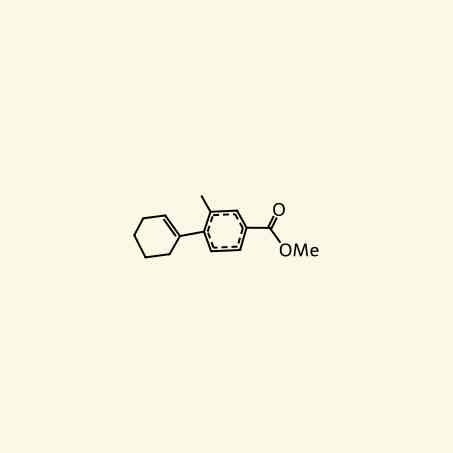 COC(=O)c1ccc(C2=CCCCC2)c(C)c1